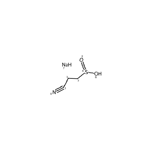 N#CCCS(=O)O.[NaH]